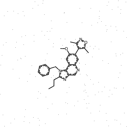 CCCc1nc2cnc3cc(-c4c(C)noc4C)c(OC)cc3c2n1Cc1ccccc1